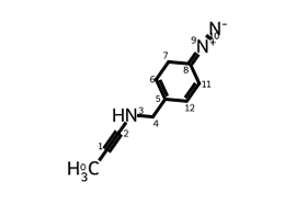 CC#CNCC1=CCC(=[N+]=[N-])C=C1